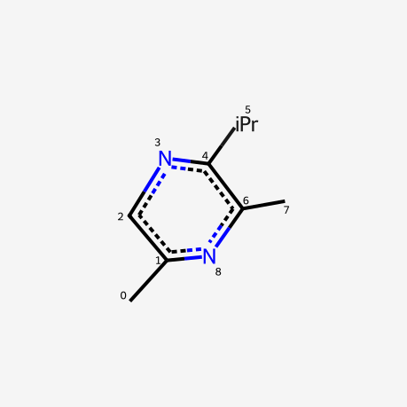 Cc1cnc(C(C)C)c(C)n1